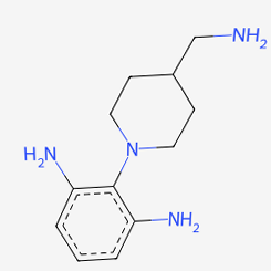 NCC1CCN(c2c(N)cccc2N)CC1